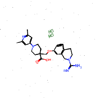 Cc1cc(N2CCC(COc3ccc4c(c3)CN(C(=N)N)CC4)(C(=O)O)CC2)cc(C)n1.Cl.Cl